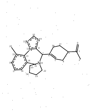 C=C(C)C1CC=C(C(c2ncnn2-c2c(C)cccc2C)N2CCCC2)CC1